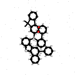 CC1(C)c2ccccc2-c2ccc(N(c3ccccc3-c3ccccc3)c3cccc4oc5c6ccccc6c(-c6ccccc6)cc5c34)cc21